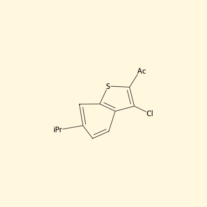 CC(=O)c1sc2cc(C(C)C)ccc2c1Cl